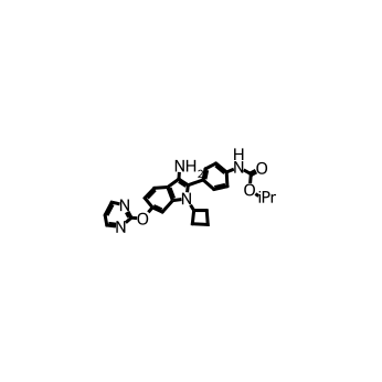 CC(C)OC(=O)Nc1ccc(-c2c(N)c3ccc(Oc4ncccn4)cc3n2C2CCC2)cc1